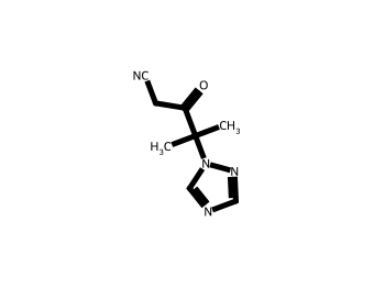 CC(C)(C(=O)CC#N)n1cncn1